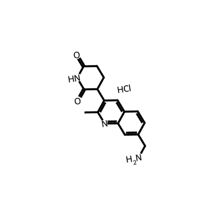 Cc1nc2cc(CN)ccc2cc1C1CCC(=O)NC1=O.Cl